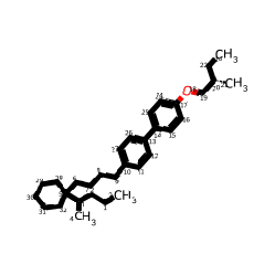 CCCC(C)C1(CCCCc2ccc(-c3ccc(OC[C@@H](C)CC)cc3)cc2)CCCCC1